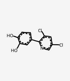 Oc1ccc(-c2ncc(Cl)cc2Cl)cc1O